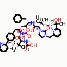 CC(C)(O)c1cccc(CN2CCN([C@H](C(=O)N[C@@H](Cc3ccccc3)[C@H](C[C@@H](Cc3ccc(-c4ccccn4)cc3)NC(=O)[C@@H](NC(=O)O)C(C)(C)C)OP(=O)(O)O)C(C)(C)C)C2=O)n1